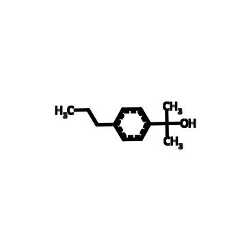 CCCc1ccc(C(C)(C)O)cc1